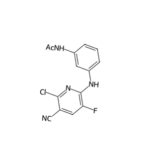 CC(=O)Nc1cccc(Nc2nc(Cl)c(C#N)cc2F)c1